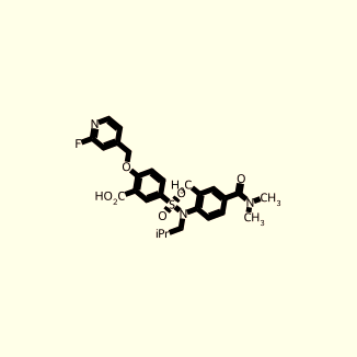 Cc1cc(C(=O)N(C)C)ccc1N(CC(C)C)S(=O)(=O)c1ccc(OCc2ccnc(F)c2)c(C(=O)O)c1